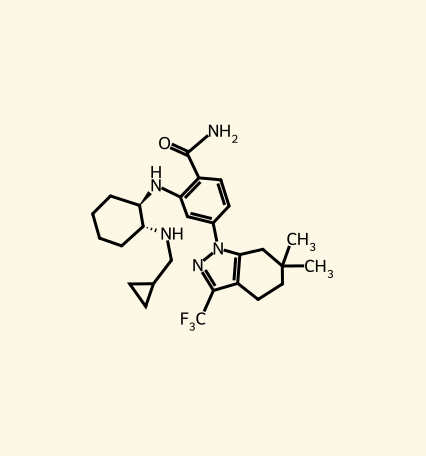 CC1(C)CCc2c(C(F)(F)F)nn(-c3ccc(C(N)=O)c(N[C@@H]4CCCC[C@H]4NCC4CC4)c3)c2C1